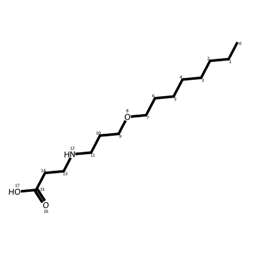 CCCCCCCCOCCCNCCC(=O)O